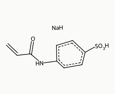 C=CC(=O)Nc1ccc(S(=O)(=O)O)cc1.[NaH]